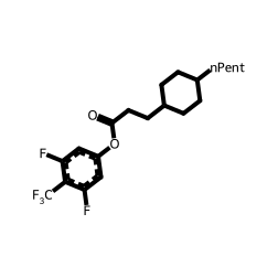 CCCCCC1CCC(CCC(=O)Oc2cc(F)c(C(F)(F)F)c(F)c2)CC1